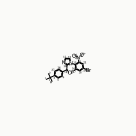 CC(C)(C)c1ccc(C(=O)c2nccn2-c2c(F)cc(Br)cc2[N+](=O)[O-])cc1